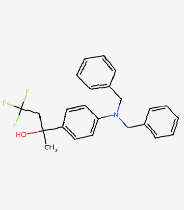 CC(O)(CC(F)(F)F)c1ccc(N(Cc2ccccc2)Cc2ccccc2)cc1